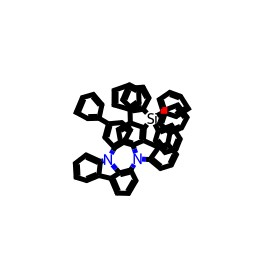 c1ccc(-c2cccc(-n3c4ccccc4c4cccc(-n5c6cccc(-c7ccccc7)c6c6c([Si](c7ccccc7)(c7ccccc7)c7ccccc7)c(-c7ccccc7)ccc65)c43)c2)cc1